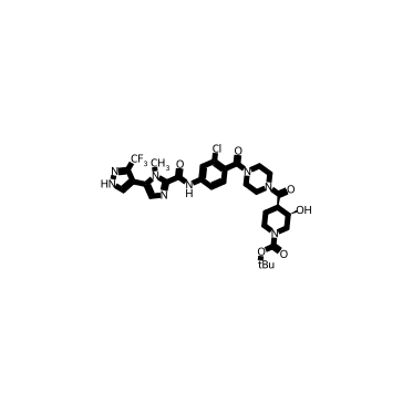 Cn1c(-c2c[nH]nc2C(F)(F)F)cnc1C(=O)Nc1ccc(C(=O)N2CCN(C(=O)[C@@H]3CCN(C(=O)OC(C)(C)C)C[C@H]3O)CC2)c(Cl)c1